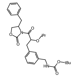 CC(C)OC(Cc1cccc(CNC(=O)OC(C)(C)C)c1)C(=O)N1C(=O)OCC1Cc1ccccc1